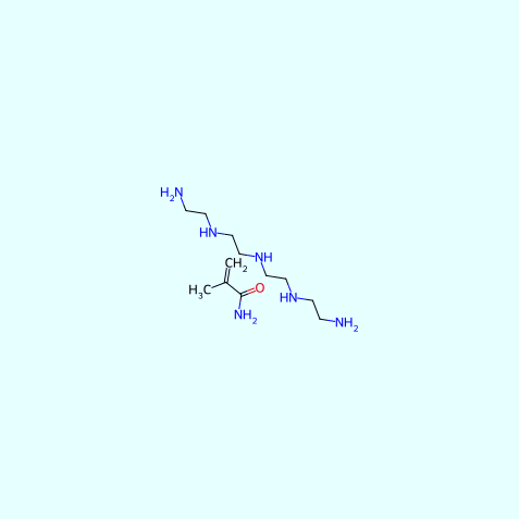 C=C(C)C(N)=O.NCCNCCNCCNCCN